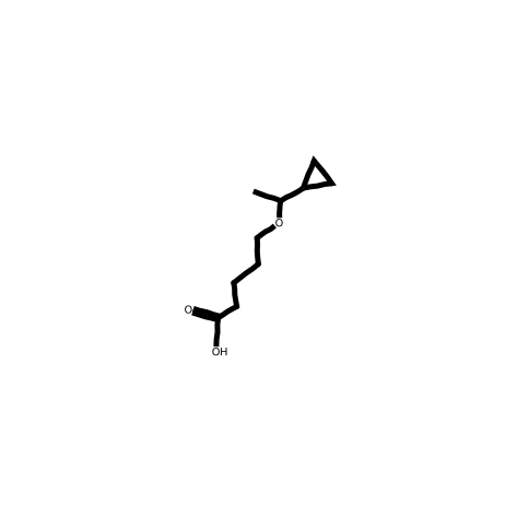 CC(OCCCCC(=O)O)C1CC1